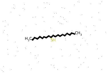 CCCCCCCCCC[CH]C(S)CCCCCCCCC